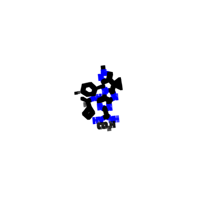 C[C@@H](Nc1nc(C(=N)NC(=O)O)nc2nc(C3(c4cnn(C)c4)CC3)n(C[C@H]3CC[C@H](C)CC3)c12)C1CCC1